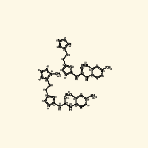 Cc1ccc(NC(=O)Nc2ncc(CSc3nnc[nH]3)s2)c(OCC(C)C)c1.Cc1ccc(NC(=O)Nc2ncc(CSc3nnnn3C)s2)c(OCC(C)C)c1